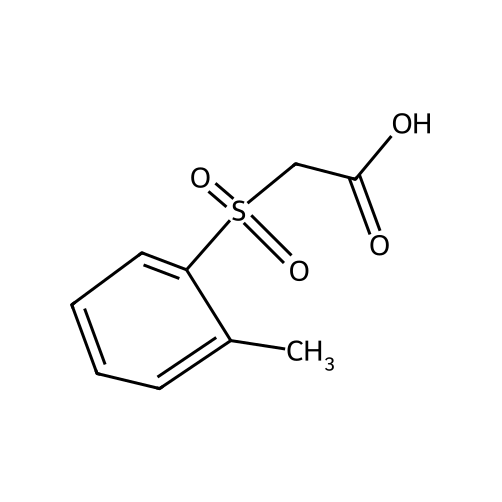 Cc1ccccc1S(=O)(=O)CC(=O)O